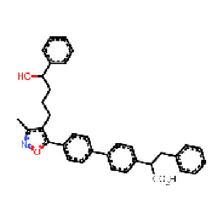 Cc1noc(-c2ccc(-c3ccc(C(Cc4ccccc4)C(=O)O)cc3)cc2)c1CCCC(O)c1ccccc1